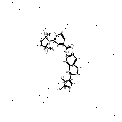 [2H]C1([2H])CCC([2H])([2H])N1c1cc(C(=O)Nc2cc3cc(-c4cnc(C)n4C)cnc3cn2)ccn1